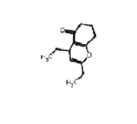 CCC1=CC(CC)C2=C(CCCC2=O)O1